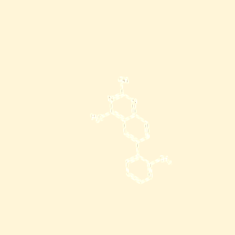 Cc1ccccc1-c1ccc2nc(O)nc(C)c2c1